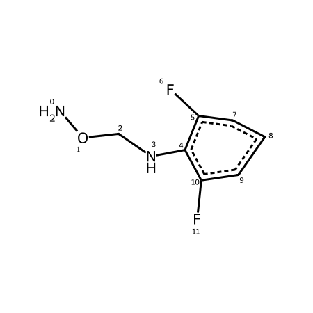 NOCNc1c(F)cccc1F